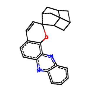 C1=CC2(Oc3c1ccc1nc4ccccc4nc31)C1CC3CC(C1)CC2C3